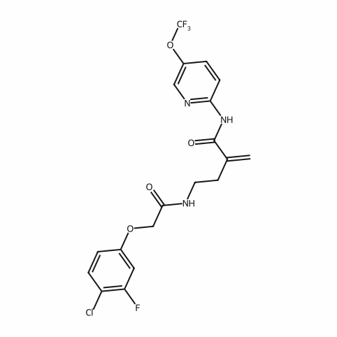 C=C(CCNC(=O)COc1ccc(Cl)c(F)c1)C(=O)Nc1ccc(OC(F)(F)F)cn1